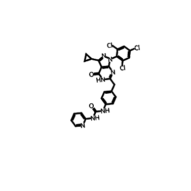 O=C(Nc1ccc(Cc2nc3c(c(C4CC4)nn3-c3c(Cl)cc(Cl)cc3Cl)c(=O)[nH]2)cc1)Nc1ccccn1